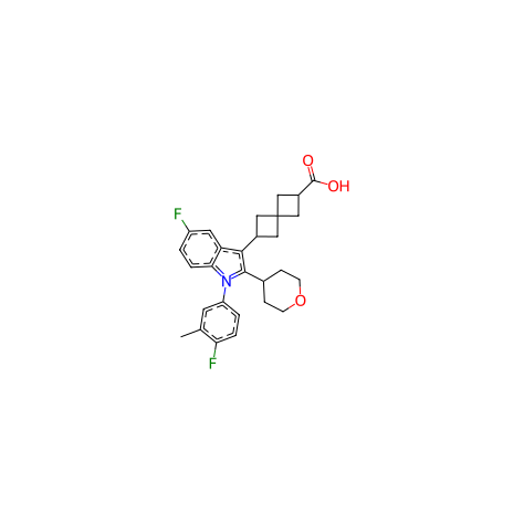 Cc1cc(-n2c(C3CCOCC3)c(C3CC4(CC(C(=O)O)C4)C3)c3cc(F)ccc32)ccc1F